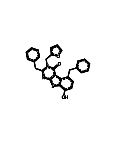 O=c1c2c(nc(Cc3ccccc3)n1Cc1ccco1)sc1c(O)ccc(Cc3ccccc3)c12